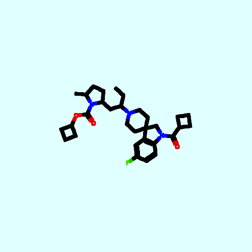 CCC(CC1CCC(C)N1C(=O)OC1CCC1)N1CCC2(CC1)CN(C(=O)C1CCC1)c1ccc(F)cc12